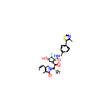 C/C=C\C1=C(C)C(=O)N([C@H](C(=O)[C@H]2C[C@H](O)C(F)[C@H]2C(=O)NCc2ccc(-c3scnc3C)cc2)C(C)C)C1